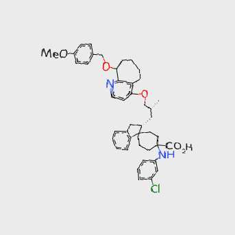 COc1ccc(COC2CCCCc3c(OC[C@H](C)C[C@H]4Cc5ccccc5C45CCC(Nc4cccc(Cl)c4)(C(=O)O)CC5)ccnc32)cc1